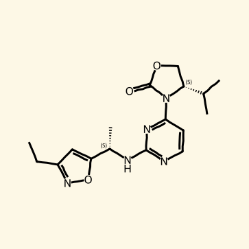 CCc1cc([C@H](C)Nc2nccc(N3C(=O)OC[C@@H]3C(C)C)n2)on1